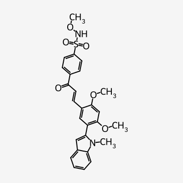 CONS(=O)(=O)c1ccc(C(=O)C=Cc2cc(-c3cc4ccccc4n3C)c(OC)cc2OC)cc1